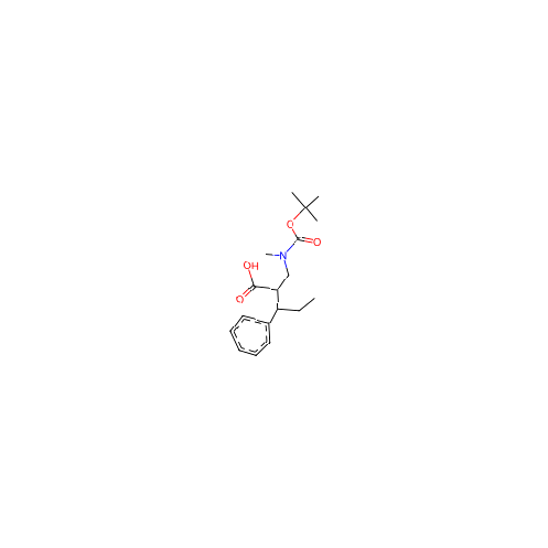 CCC(c1ccccc1)C(CN(C)C(=O)OC(C)(C)C)C(=O)O